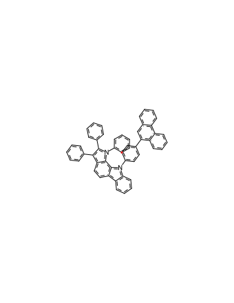 c1ccc(-c2c(-c3ccccc3)n(-c3ccccc3)c3c2ccc2c4ccccc4n(-c4ccc(-c5cc6ccccc6c6ccccc56)cc4)c23)cc1